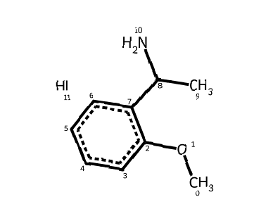 COc1ccccc1C(C)N.I